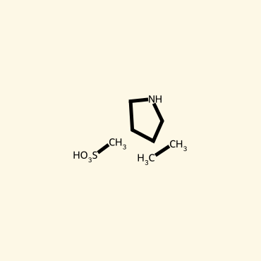 C1CCNC1.CC.CS(=O)(=O)O